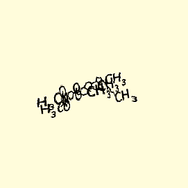 CCCCCCC(C)C1CCC2C3CCC4CC(OC(=O)C5CCC(N6C(=O)C(C)C(C)C6=O)CC5)CCC4(C)C3CCC12C